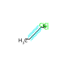 CCCC(F)(F)C(F)(F)C(F)(F)C(F)(F)C(F)(F)C(F)(F)C(F)(F)C(F)(F)CC[Si](Cl)(Cl)Cl